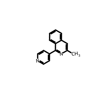 Cc1cc2ccccc2c(-c2ccncc2)n1